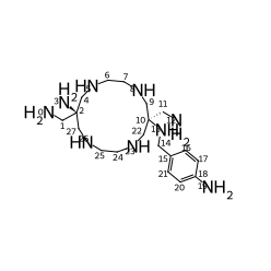 NC[C@]1(N)CNCCNC[C@@](CN)(NCc2ccc(N)cc2)CNCCNC1